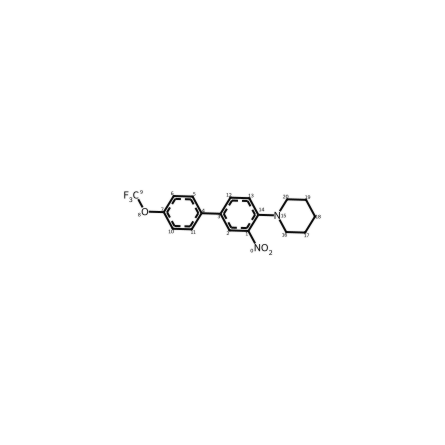 O=[N+]([O-])c1cc(-c2ccc(OC(F)(F)F)cc2)ccc1N1CCCCC1